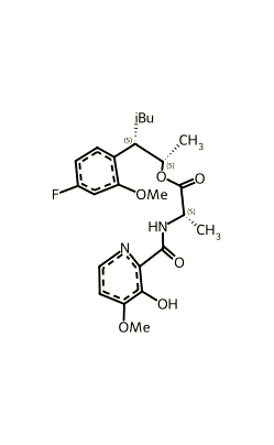 CCC(C)[C@@H](c1ccc(F)cc1OC)[C@H](C)OC(=O)[C@H](C)NC(=O)c1nccc(OC)c1O